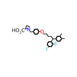 Cc1ccc(C(CCCCOc2ccc(CN3CCC3C(=O)O)cc2)c2ccc(F)cc2F)cc1C